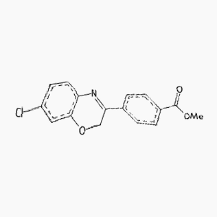 COC(=O)c1ccc(C2=Nc3ccc(Cl)cc3OC2)cc1